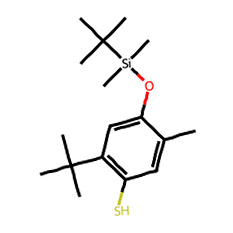 Cc1cc(S)c(C(C)(C)C)cc1O[Si](C)(C)C(C)(C)C